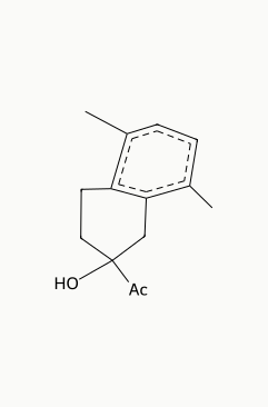 CC(=O)C1(O)CCc2c(C)ccc(C)c2C1